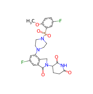 COc1ccc(F)cc1S(=O)(=O)N1CCN(c2cc(F)cc3c2CN(C2CCC(=O)NC2=O)C3=O)CC1